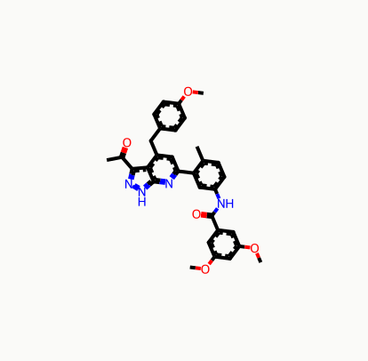 COc1ccc(Cc2cc(-c3cc(NC(=O)c4cc(OC)cc(OC)c4)ccc3C)nc3[nH]nc(C(C)=O)c23)cc1